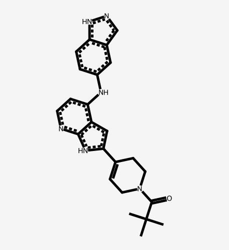 CC(C)(C)C(=O)N1CC=C(c2cc3c(Nc4ccc5[nH]ncc5c4)ccnc3[nH]2)CC1